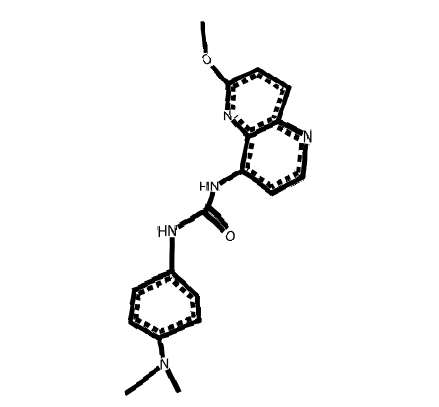 COc1ccc2nccc(NC(=O)Nc3ccc(N(C)C)cc3)c2n1